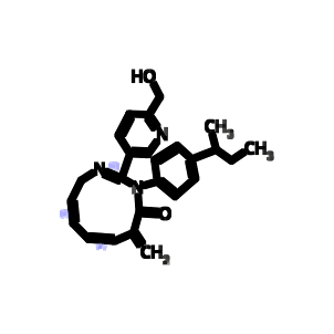 C=C1/C=C\C=C/C/N=C(/c2ccc(CO)nc2)N(c2ccc(C(C)CC)cc2)C1=O